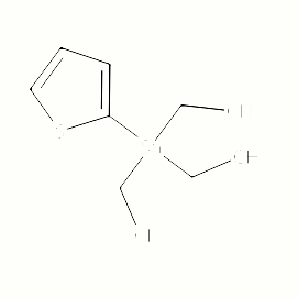 C[CH2][Sn]([CH2]C)([CH2]C)[c]1cccs1